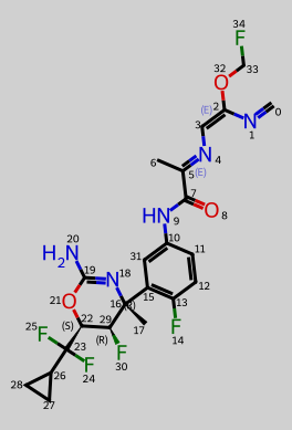 C=N/C(=C\N=C(/C)C(=O)Nc1ccc(F)c([C@@]2(C)N=C(N)O[C@H](C(F)(F)C3CC3)[C@@H]2F)c1)OCF